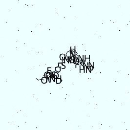 CCCOC(=O)[C@H](C)NP(=O)(Oc1ccccc1)[C@@H](F)c1ccc2sc(C(=O)N[C@H]3CCC[C@H]4CC[C@@H](C(=O)N[C@H]5CN(c6ncc[nH]6)C[C@@H]5F)N4C3=O)cc2c1